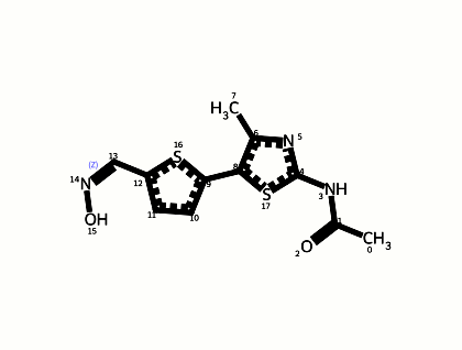 CC(=O)Nc1nc(C)c(-c2ccc(/C=N\O)s2)s1